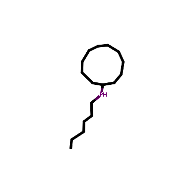 CCCCCCPC1CCCCCCCCCC1